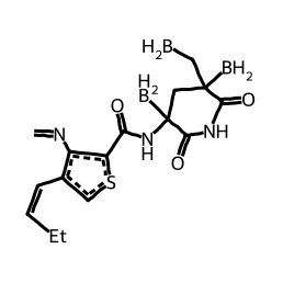 BCC1(B)CC(B)(NC(=O)c2scc(/C=C\CC)c2N=C)C(=O)NC1=O